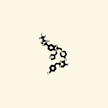 Fc1cnc(Cc2ccc(Cl)cc2)nc1OC1CCN(Cc2nc3cc(-c4nnc(C(F)(F)F)[nH]4)ccc3n2CC2CCOC2)CC1